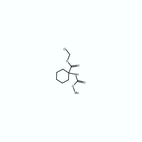 CC(C)(C)OC(=O)NC1(C(=O)OCCl)CCCCC1